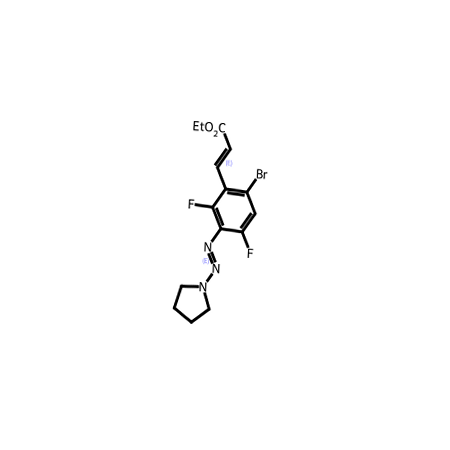 CCOC(=O)/C=C/c1c(Br)cc(F)c(/N=N/N2CCCC2)c1F